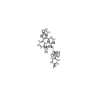 O=S(=O)(NCCNc1nccc(-c2c(-c3cccc(O)c3)nc3occn23)n1)c1ccc(F)cc1